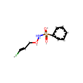 O=S(=O)(NOCC=CF)c1ccccc1